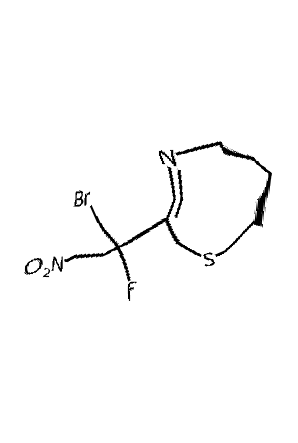 O=[N+]([O-])C(F)(Br)C1=NCCCS1